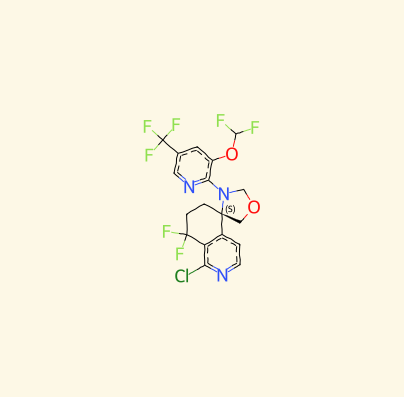 FC(F)Oc1cc(C(F)(F)F)cnc1N1COC[C@@]12CCC(F)(F)c1c2ccnc1Cl